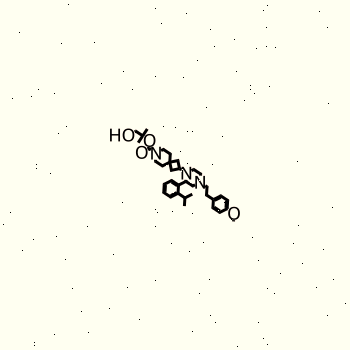 COc1ccc(CCN2CCN(C3CC4(CCN(C(=O)OC(C)(C)CO)CC4)C3)C(c3ccccc3C(C)C)C2)cc1